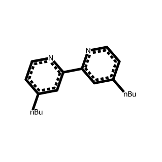 CCCCc1ccnc(-c2cc(CCCC)ccn2)c1